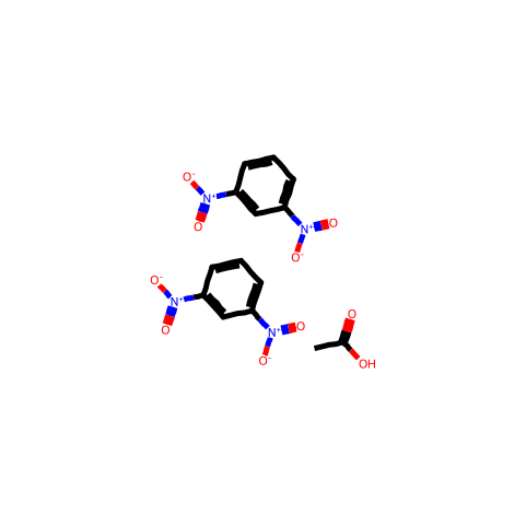 CC(=O)O.O=[N+]([O-])c1cccc([N+](=O)[O-])c1.O=[N+]([O-])c1cccc([N+](=O)[O-])c1